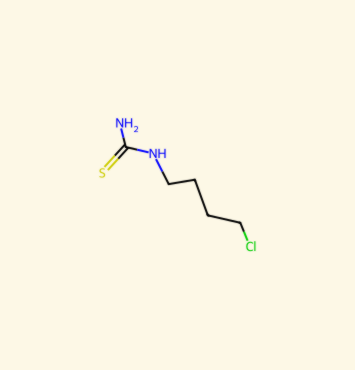 NC(=S)NCCCCCl